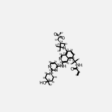 C=CC(=O)NC(C)(C)c1ccc(N2C[C@H](CS(C)(=O)=O)C2(C)C)c2cnc(Nc3ccnc(N4CCC(C)(O)CC4)n3)cc12